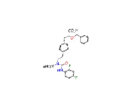 CCCCCCCN(CCc1ccc(CC(OCc2ccccc2)C(=O)O)cc1)C(=O)Nc1ccc(F)cc1F